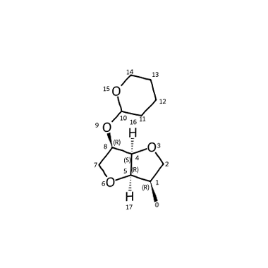 C[C@@H]1CO[C@H]2[C@@H]1OC[C@H]2OC1CCCCO1